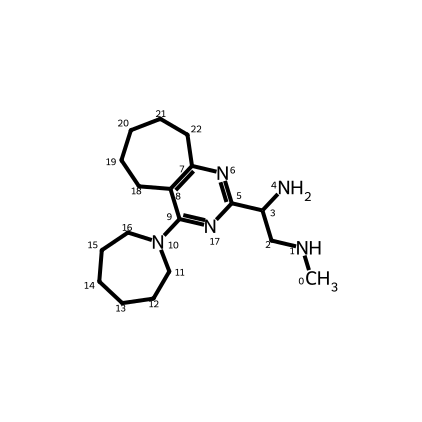 CNCC(N)c1nc2c(c(N3CCCCCC3)n1)CCCCC2